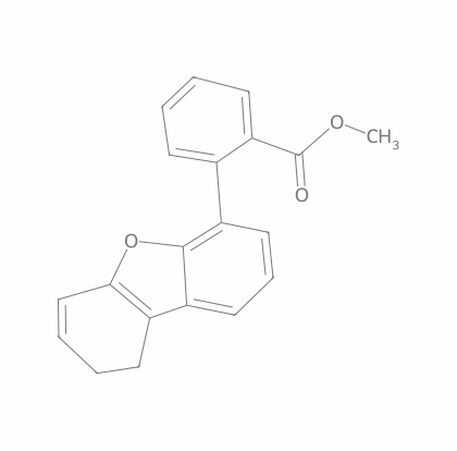 COC(=O)c1ccccc1-c1cccc2c3c(oc12)C=CCC3